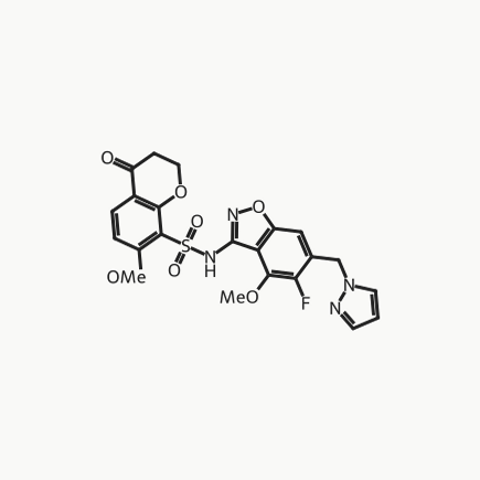 COc1ccc2c(c1S(=O)(=O)Nc1noc3cc(Cn4cccn4)c(F)c(OC)c13)OCCC2=O